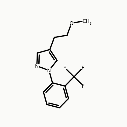 COCCc1cnn(-c2ccccc2C(F)(F)F)c1